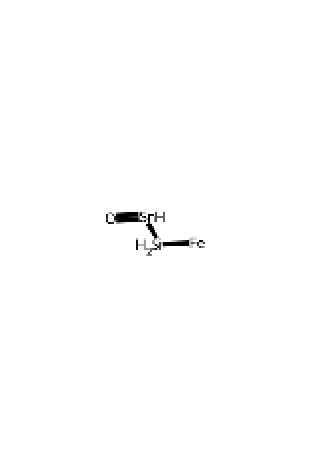 [O]=[SnH][SiH2][Fe]